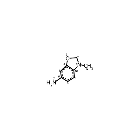 CN1COc2cc(N)ccc21